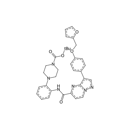 CC(C)(C)OC(=O)N1CCN(c2ccccc2NC(=O)c2ccn3ncc(-c4ccc(OCc5ccco5)cc4)c3n2)CC1